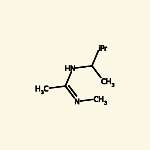 C/N=C(/C)NC(C)C(C)C